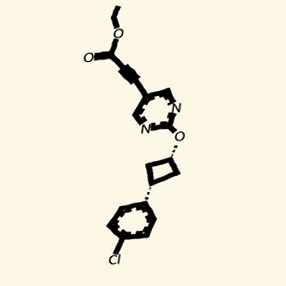 CCOC(=O)C#Cc1cnc(O[C@H]2C[C@@H](c3ccc(Cl)cc3)C2)nc1